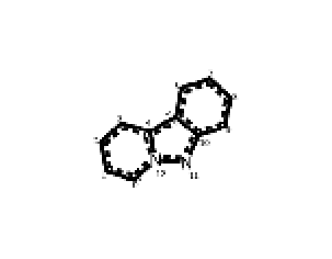 [c]1cccc2c3ccccc3nn12